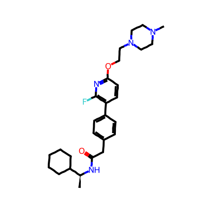 C[C@H](NC(=O)Cc1ccc(-c2ccc(OCCN3CCN(C)CC3)nc2F)cc1)C1CCCCC1